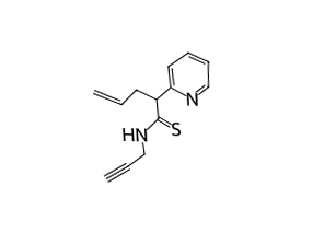 C#CCNC(=S)C(CC=C)c1ccccn1